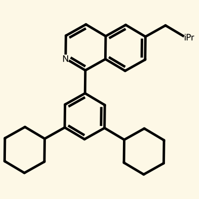 CC(C)Cc1ccc2c(-c3cc(C4CCCCC4)cc(C4CCCCC4)c3)nccc2c1